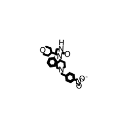 O=C1NC[C@](c2ccccc2)(C2CCOCC2)N1C1CCN(Cc2ccc([N+](=O)[O-])cc2)CC1